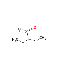 CCC(CC)[Si](C)=O